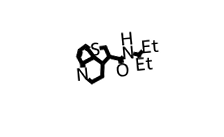 CCC(CC)NC(=O)C1CSC23C=CC=CC2=NCCC13